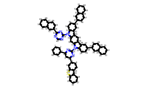 c1ccc(-c2cc(-c3ccc4c(c3)sc3ccccc34)nc(-n3c4ccc(-c5ccc6ccccc6c5)cc4c4cc5c6cc(-c7ccc8ccccc8c7)ccc6n(-c6ncnc(-c7ccc8ccccc8c7)n6)c5cc43)n2)cc1